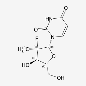 [13CH3][C@@]1(F)[C@H](O)[C@@H](CO)O[C@H]1n1ccc(=O)[nH]c1=O